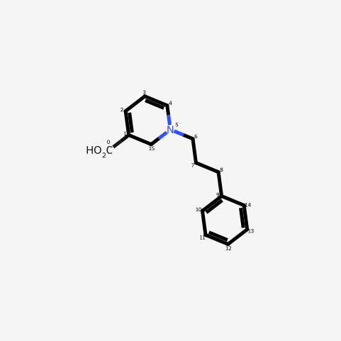 O=C(O)C1=CC=CN(CCCc2ccccc2)C1